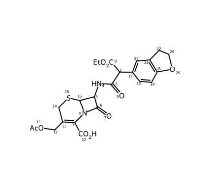 CCOC(=O)C(C(=O)NC1C(=O)N2C(C(=O)O)=C(COC(C)=O)CSC12)c1ccc2c(c1)CCO2